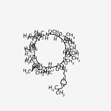 C/C=C/C[C@@H](C)[C@@H](O)[C@H]1C(=O)N[C@@H](CC)C(=O)N(C)[C@H](CSCCCN2CCN(CC(C)C)CC2)C(=O)N(C)[C@@H](CC(C)(C)O)C(=O)N[C@@H](C(C)C)C(=O)N(C)[C@@H](CC(C)C)C(=O)N[C@@H](C)C(=O)N[C@H](C)C(=O)N(C)[C@@H](CC(C)C)C(=O)N(C)[C@@H](CC(C)C)C(=O)N(C)[C@@H](C(C)C)C(=O)N1C